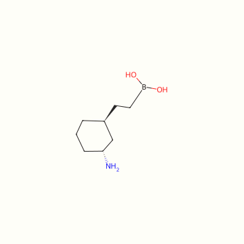 N[C@@H]1CCC[C@@H](CCB(O)O)C1